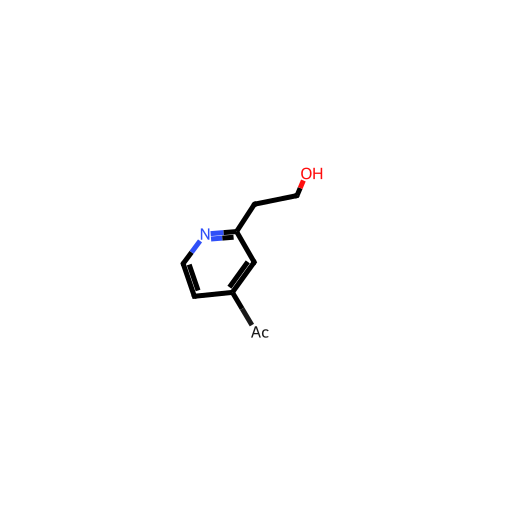 CC(=O)c1ccnc(CCO)c1